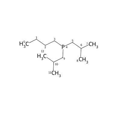 CCCCP(CC(C)C)CC(C)C